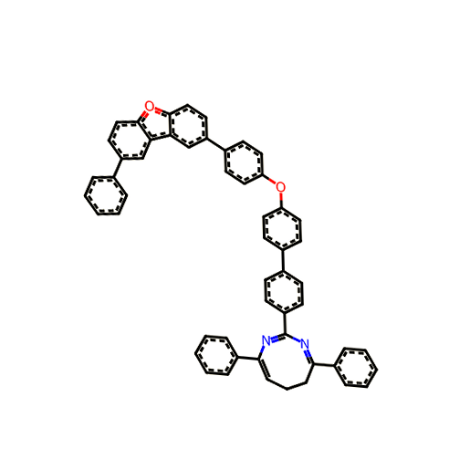 C1=C(c2ccccc2)/N=C(c2ccc(-c3ccc(Oc4ccc(-c5ccc6oc7ccc(-c8ccccc8)cc7c6c5)cc4)cc3)cc2)\N=C(\c2ccccc2)CC\1